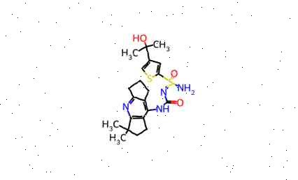 CC(C)(O)c1csc(S(N)(=O)=NC(=O)Nc2c3c(nc4c2CCC4(C)C)CCC3)c1